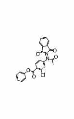 CC(=O)N(c1ccc(C(=O)Oc2ccccc2)c(Cl)c1)N1C(=O)c2ccccc2C1=O